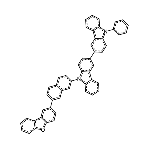 c1ccc(-n2c3ccccc3c3cc(-c4ccc5c(c4)c4ccccc4n5-c4ccc5ccc(-c6ccc7oc8ccccc8c7c6)cc5c4)ccc32)cc1